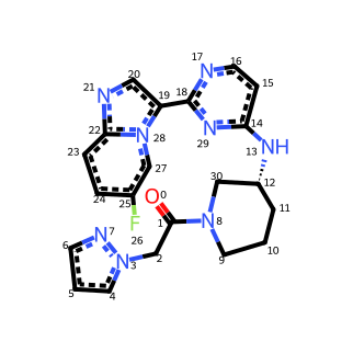 O=C(Cn1cccn1)N1CCC[C@@H](Nc2ccnc(-c3cnc4ccc(F)cn34)n2)C1